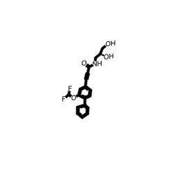 O=C(C#Cc1ccc(-c2ccccc2)c(OC(F)F)c1)NC[C@H](O)CO